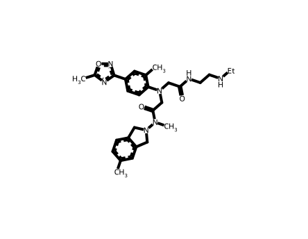 CCNCCNC(=O)CN(CC(=O)N(C)N1Cc2ccc(C)cc2C1)c1ccc(-c2noc(C)n2)cc1C